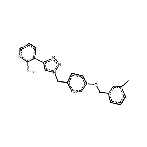 Cc1cccc(COc2ccc(Cn3cc(-c4cccnc4N)nn3)cc2)c1